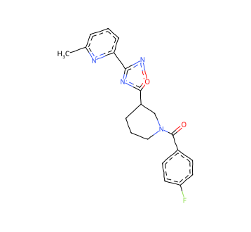 Cc1cccc(-c2noc(C3CCCN(C(=O)c4ccc(F)cc4)C3)n2)n1